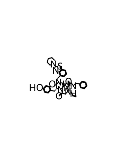 C=CCN1CC(=O)N2[C@@H](Cc3ccc(O)cc3)C(=O)N(Cc3cccc4sc(N5CCCCC5)nc34)C[C@@H]2N1C(=O)NCc1ccccc1